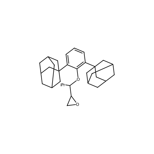 CC(C)C(Oc1c(C23CC4CC(CC(C4)C2)C3)cccc1C12CC3CC(CC(C3)C1)C2)C1CO1